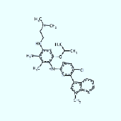 Cc1c(N)c(NCCN(C)C)nc(OC(C)C)c1Nc1ncc(Cl)c(-c2cn(C)c3ncccc23)n1